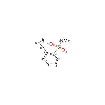 CNS(=O)(=O)c1ccccc1C1CC1